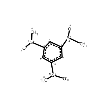 C[S+]([O-])c1[c]c([S+](C)[O-])cc([S+](C)[O-])c1